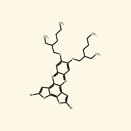 CCCCC(CC)COc1cc2nc3c4cc(Br)sc4c4sc(Br)cc4c3nc2cc1OCC(CC)CCCC